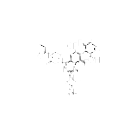 C=CC(=O)N1CCN(c2nc(N3CC(N(C)C)C3)nc3c(F)c(-c4c(O)cccc4F)c(C(F)(F)F)cc23)CC1C